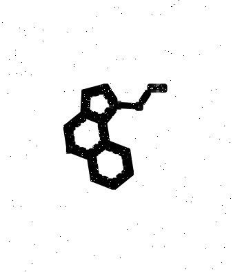 O=COn1ccc2cnc3ccccc3c21